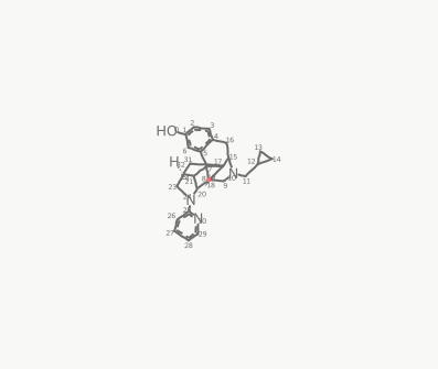 Oc1ccc2c(c1)C13CCN(CC4CC4)C(C2)C12CCC1C3[C@@H](CN1c1ccccn1)C2